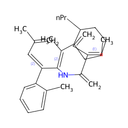 C=C/C(=C\C)C(=C)NC(/C(=C\C(=C)C)c1ccccc1C)=C(/C)C1CCCCC1CCC